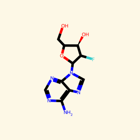 Nc1ncnc2c1ncn2C1OC(CO)[C@@H](O)C1F